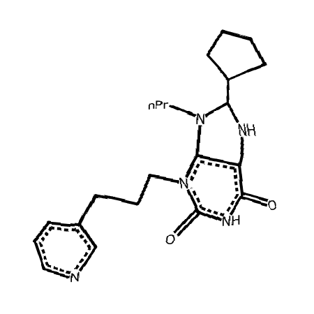 CCCN1c2c(c(=O)[nH]c(=O)n2CCCc2cccnc2)NC1C1CCCC1